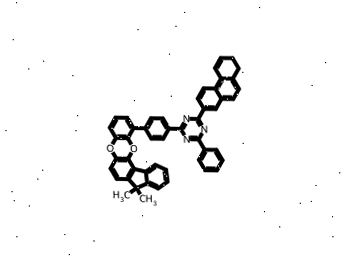 CC1(C)c2ccccc2-c2c1ccc1c2Oc2c(cccc2-c2ccc(-c3nc(-c4ccccc4)nc(-c4ccc5c6c(ccc5c4)CCC=C6)n3)cc2)O1